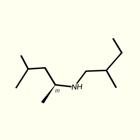 CCC(C)CN[C@@H](C)CC(C)C